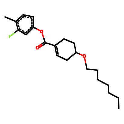 CCCCCCCOC1CC=C(C(=O)Oc2ccc(C)c(F)c2)CC1